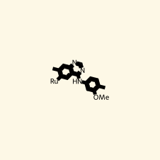 COc1cc(Nc2ncnc3cc(C)[c]([Ru])cc23)ccc1C